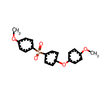 COc1ccc(Oc2ccc(S(=O)(=O)c3ccc(OC)cc3)cc2)cc1